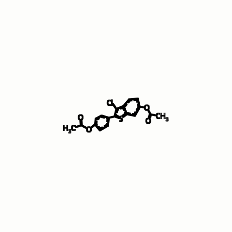 CC(=O)Oc1ccc(-c2sc3cc(OC(C)=O)ccc3c2Cl)cc1